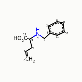 C=CCC(NCc1ccccc1)C(=O)O